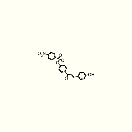 O=C(C=Cc1ccc(O)cc1)c1ccc(OS(=O)(=O)c2ccc([N+](=O)[O-])cc2)cc1